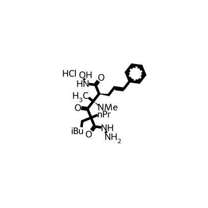 CCCC(CC(C)CC)(C(=O)NN)C(=O)[C@](C)(NC)[C@H](C/C=C/c1ccccc1)C(=O)NO.Cl